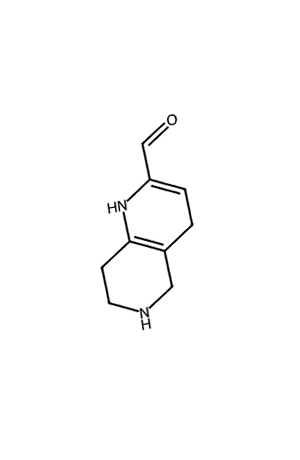 O=CC1=CCC2=C(CCNC2)N1